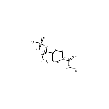 C/C=C(/OS(=O)(=O)C(F)(F)F)C1CCN(C(=O)OC(C)(C)C)CC1